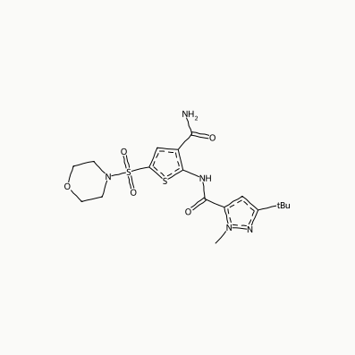 Cn1nc(C(C)(C)C)cc1C(=O)Nc1sc(S(=O)(=O)N2CCOCC2)cc1C(N)=O